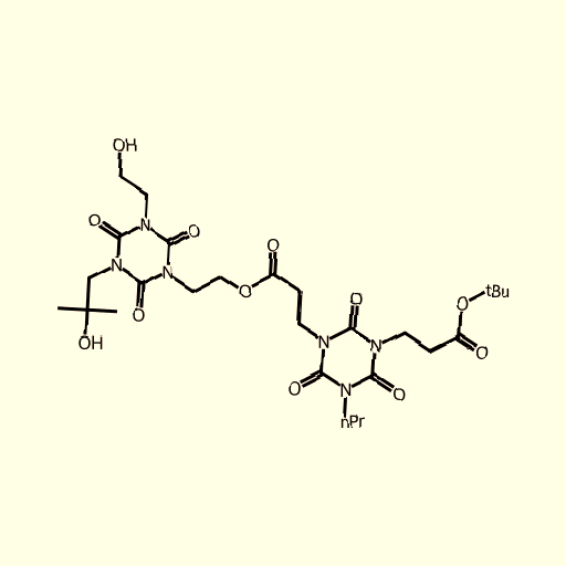 CCCn1c(=O)n(CCC(=O)OCCn2c(=O)n(CCO)c(=O)n(CC(C)(C)O)c2=O)c(=O)n(CCC(=O)OC(C)(C)C)c1=O